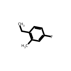 CCc1c[c]c(F)cc1C